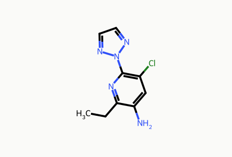 CCc1nc(-n2nccn2)c(Cl)cc1N